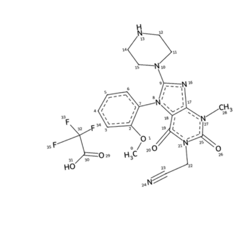 COc1ccccc1-n1c(N2CCNCC2)nc2c1c(=O)n(CC#N)c(=O)n2C.O=C(O)C(F)(F)F